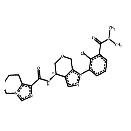 CN(C)C(=O)c1cccc(-n2ncc3c2COC[C@@H]3NC(=O)c2ncn3c2CCCC3)c1Cl